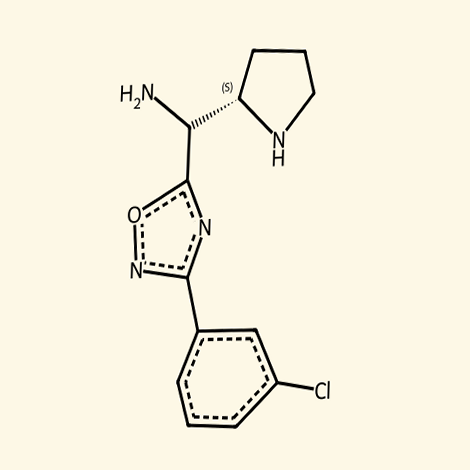 NC(c1nc(-c2cccc(Cl)c2)no1)[C@@H]1CCCN1